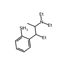 CCC(c1ccccc1[SiH3])C(C)N(CC)CC